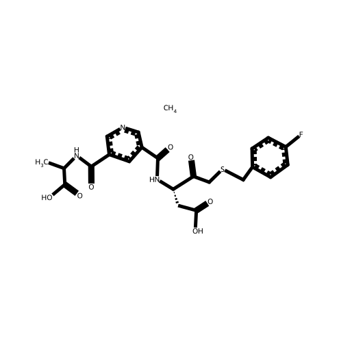 C.CC(NC(=O)c1cncc(C(=O)N[C@@H](CC(=O)O)C(=O)CSCc2ccc(F)cc2)c1)C(=O)O